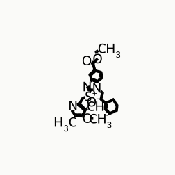 CCOC(=O)c1ccc2c(c1)nc([S+]([O-])Cc1ncc(C)c(OC)c1C)n2CCC1=CCCCC1